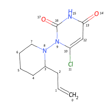 C=CCC1CCCCN1n1c(Cl)cc(=O)[nH]c1=O